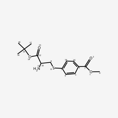 COC(=O)c1ccc(SCC(N)C(=O)OC(C)(C)C)cc1